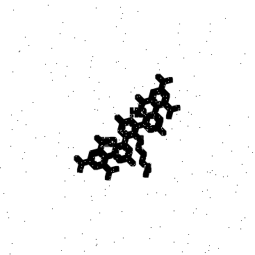 CSCCCSc1c(-c2cc(C)cc(-c3c(C(C)C)cc(C(C)C)cc3C(C)C)c2O)cc(C)cc1-c1cc(C)cc(-c2c(C(C)C)cc(C(C)C)cc2C(C)C)c1O